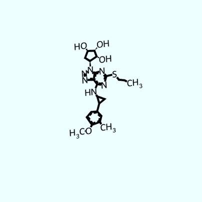 CCCSc1nc(NC2CC2c2ccc(OC)c(C)c2)c2nnn([C@H]3C[C@@H](O)[C@H](O)[C@@H]3O)c2n1